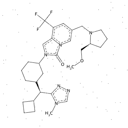 COC[C@@H]1CCCN1Cc1cc(C(F)(F)F)c2cn(C3CCCC([C@@H](c4nncn4C)C4CCC4)C3)c(=O)n2c1